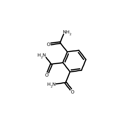 NC(=O)c1cccc(C(N)=O)c1C(N)=O